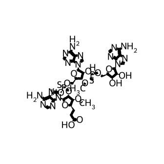 CO[C@H]1[C@@H](O[PH](=S)OC[C@H]2O[C@@H](n3cnc4c(N)ncnc43)[C@H](O)[C@@H]2O)[C@H](n2cnc3c(N)ncnc32)O[C@@H]1CO[P@@](O)(=S)O[C@@H]1[C@H](OC)[C@@H](CCC(=O)O)O[C@H]1n1cnc2c(N)ncnc21